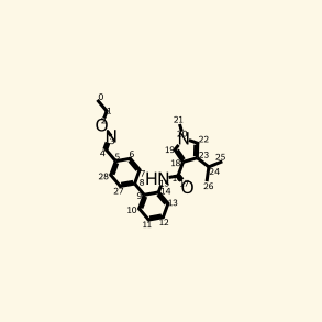 CCO/N=C/c1ccc(-c2ccccc2NC(=O)c2cn(C)cc2C(C)C)cc1